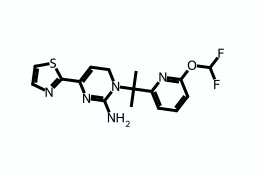 CC(C)(c1cccc(OC(F)F)n1)N1CC=C(c2nccs2)N=C1N